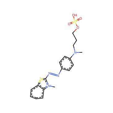 CN(CCCOS(=O)(=O)O)c1ccc(N=Nc2sc3ccccc3[n+]2C)cc1